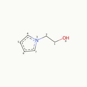 OCCn1c[c]cc1